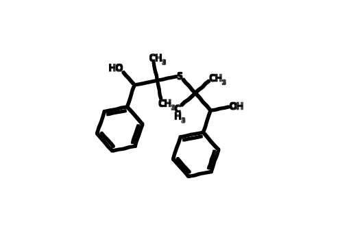 CC(C)(SC(C)(C)C(O)c1ccccc1)C(O)c1ccccc1